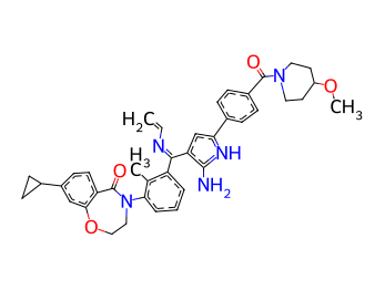 C=C/N=C(\c1cc(-c2ccc(C(=O)N3CCC(OC)CC3)cc2)[nH]c1N)c1cccc(N2CCOc3cc(C4CC4)ccc3C2=O)c1C